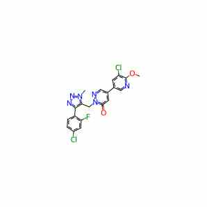 COc1ncc(-c2cnn(Cc3c(-c4ccc(Cl)cc4F)nnn3C)c(=O)c2)cc1Cl